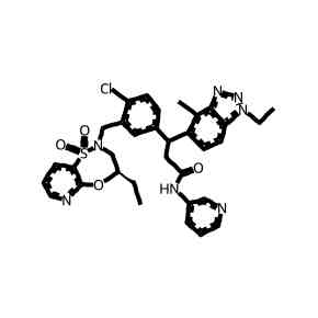 CC[C@@H]1CN(Cc2cc(C(CC(=O)Nc3cccnc3)c3ccc4c(nnn4CC)c3C)ccc2Cl)S(=O)(=O)c2cccnc2O1